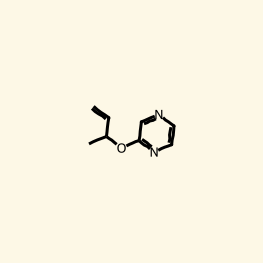 C=CC(C)Oc1cnccn1